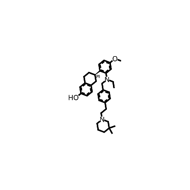 CCN(Cc1ccc(CCN2CCCC(C)(C)C2)cc1)c1cc(OC)ccc1[C@@H]1CCc2cc(O)ccc2C1